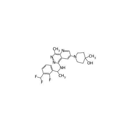 Cc1nnc(NC(C)c2cccc(C(F)F)c2F)c2cc(N3CCC(C)(O)CC3)cnc12